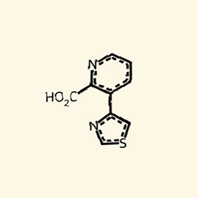 O=C(O)c1ncccc1-c1cscn1